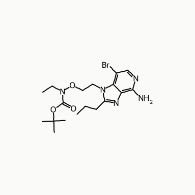 CCCc1nc2c(N)ncc(Br)c2n1CCON(CC)C(=O)OC(C)(C)C